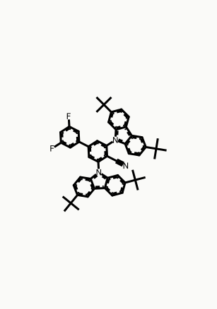 CC(C)(C)c1ccc2c(c1)c1ccc(C(C)(C)C)cc1n2-c1cc(-c2cc(F)cc(F)c2)cc(-n2c3ccc(C(C)(C)C)cc3c3ccc(C(C)(C)C)cc32)c1C#N